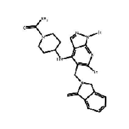 C=C1c2ccccc2CN1Cc1c(CC)nc2c(cnn2CC)c1NC1CCN(C(N)=O)CC1